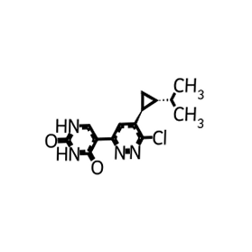 CC(C)[C@H]1C[C@@H]1c1cc(-c2c[nH]c(=O)[nH]c2=O)nnc1Cl